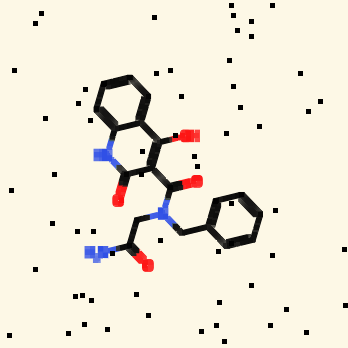 NC(=O)CN(Cc1ccccc1)C(=O)c1c(O)c2ccccc2[nH]c1=O